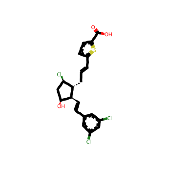 O=C(O)c1ccc(C=CC[C@@H]2[C@@H](C=Cc3cc(Cl)cc(Cl)c3)[C@H](O)C[C@H]2Cl)s1